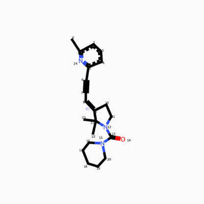 Cc1cccc(C#C/C=C2\CCN(C(=O)N3CCCCC3)C2(C)C)n1